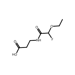 CCOC(F)C(=O)NCCC(=O)O